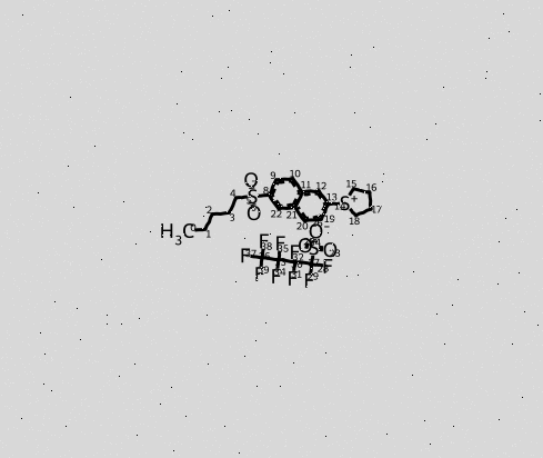 CCCCCS(=O)(=O)c1ccc2cc([S+]3CCCC3)ccc2c1.O=S(=O)([O-])C(F)(F)C(F)(F)C(F)(F)C(F)(F)F